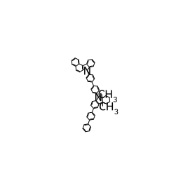 CC12CCCCC1(C)N(c1ccc(-c3ccc(-n4c5ccccc5c5c6ccccc6ccc54)cc3)cc1)c1ccc(-c3ccc(-c4ccccc4)cc3)cc12